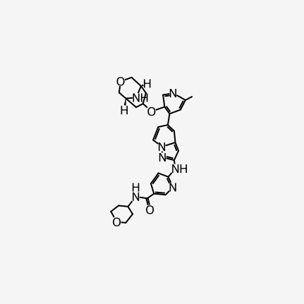 Cc1cc(-c2ccn3nc(Nc4ccc(C(=O)NC5CCOCC5)cn4)cc3c2)c(OC2C[C@H]3COC[C@@H](C2)N3)cn1